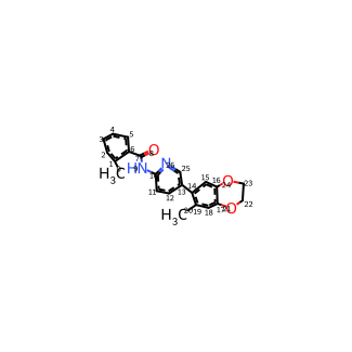 Cc1ccccc1C(=O)Nc1ccc(-c2cc3c(cc2C)OCCO3)cn1